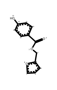 O=C(OCc1ccco1)c1ccc(O)cc1